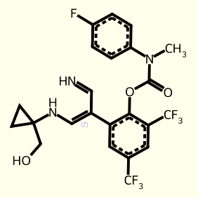 CN(C(=O)Oc1c(/C(C=N)=C/NC2(CO)CC2)cc(C(F)(F)F)cc1C(F)(F)F)c1ccc(F)cc1